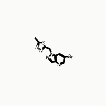 Cc1nnc(Cn2ncc3ncc(Br)cc32)s1